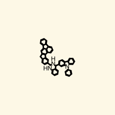 c1ccc(-n2c3ccccc3c3ccc(C4NC(c5ccc6c(c5)-c5c(cc7c8c(cccc58)-c5ccccc5-7)C6)Nc5ccccc54)cc32)cc1